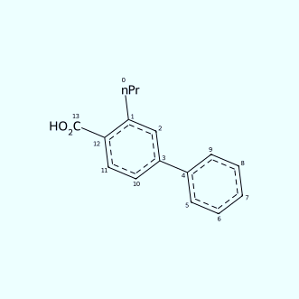 CCCc1cc(-c2ccccc2)ccc1C(=O)O